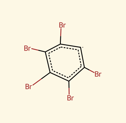 Brc1[c]c(Br)c(Br)c(Br)c1Br